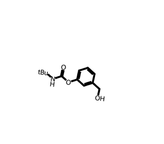 CC(C)(C)NC(=O)Oc1cccc(CO)c1